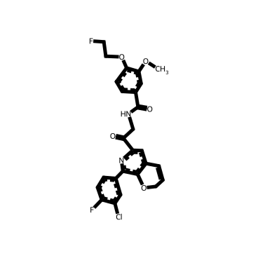 COc1cc(C(=O)NCC(=O)c2cc3c(c(-c4ccc(F)c(Cl)c4)n2)OCC=C3)ccc1OCCF